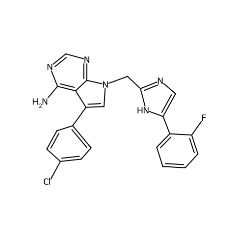 Nc1ncnc2c1c(-c1ccc(Cl)cc1)cn2Cc1ncc(-c2ccccc2F)[nH]1